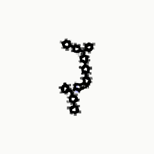 C#C/C=C(\C=C/Cc1cccc(-c2ccc(-c3ccc(N(c4ccccc4)c4ccc(-c5ccccc5)cc4)cc3)cc2)c1)N(c1ccccc1)c1ccc(C2=CCCC=C2)cc1